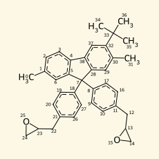 Cc1ccc2c(c1)C(c1ccc(CC3CO3)cc1)(c1ccc(CC3CO3)cc1)c1cc(C)c(C(C)(C)C)cc1-2